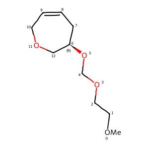 COCCOCO[C@@H]1CC=CCOC1